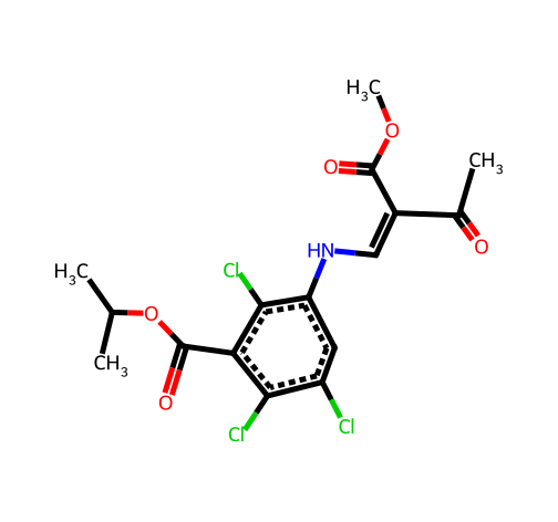 COC(=O)C(=CNc1cc(Cl)c(Cl)c(C(=O)OC(C)C)c1Cl)C(C)=O